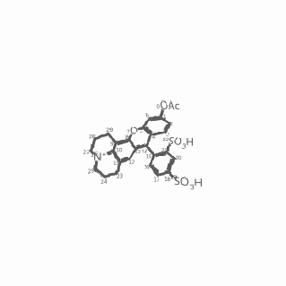 CC(=O)Oc1ccc2c(c1)Oc1c3c4c(cc1=C2c1ccc(S(=O)(=O)O)cc1S(=O)(=O)O)CCC[N+]=4CCC3